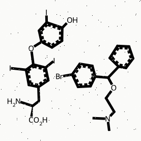 CN(C)CCOC(c1ccccc1)c1ccc(Br)cc1.N[C@@H](Cc1cc(I)c(Oc2ccc(O)c(I)c2)c(I)c1)C(=O)O